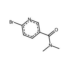 CN(C)C(=O)c1ccc(Br)nc1